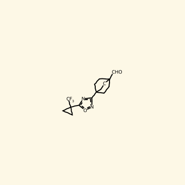 O=CC12CCC(c3noc(C4(C(F)(F)F)CC4)n3)(CC1)CC2